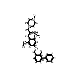 COc1cc(OCc2cccc(-c3ccccc3)c2C)cc(OC)c1CC(N)CN1CCN(C)CC1